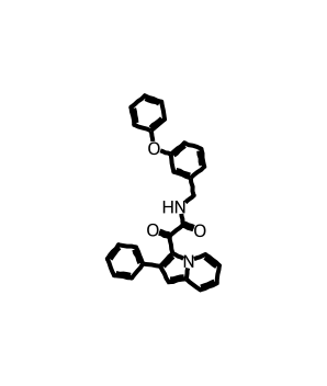 O=C(NCc1cccc(Oc2ccccc2)c1)C(=O)c1c(-c2ccccc2)cc2ccccn12